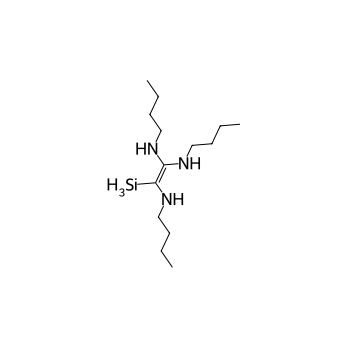 CCCCNC([SiH3])=C(NCCCC)NCCCC